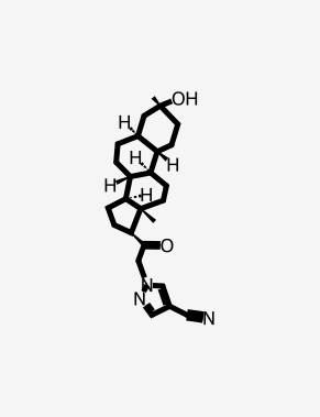 C[C@@]1(O)CC[C@H]2[C@@H](CC[C@@H]3[C@@H]2CC[C@]2(C)[C@@H](C(=O)Cn4cc(C#N)cn4)CC[C@@H]32)C1